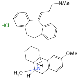 CNCCC=C1c2ccccc2CCc2ccccc21.COc1ccc2c(c1)[C@]13CCCC[C@@H]1[C@H](C2)N(C)CC3.Cl